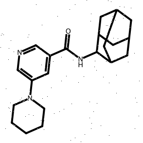 O=C(NC1C2CC3CC(C2)CC1C3)c1cncc(N2CCCCC2)c1